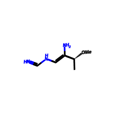 CO[C@H](C)/C(N)=C/NC=N